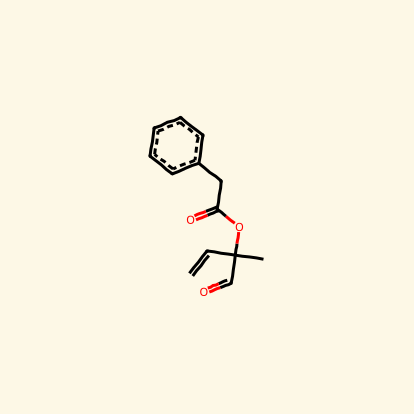 C=CC(C)(C=O)OC(=O)Cc1ccccc1